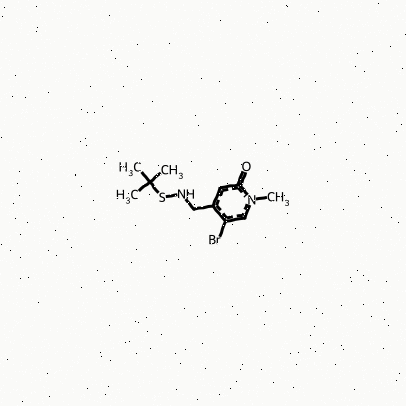 Cn1cc(Br)c(CNSC(C)(C)C)cc1=O